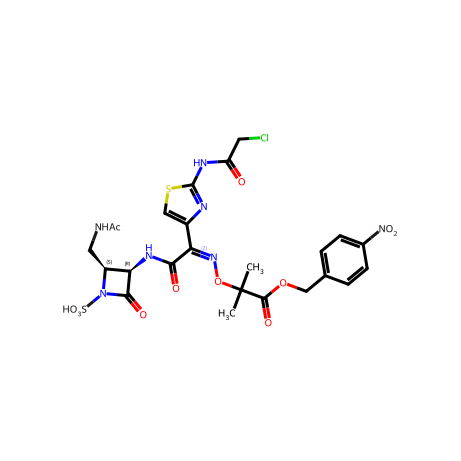 CC(=O)NC[C@H]1[C@@H](NC(=O)/C(=N\OC(C)(C)C(=O)OCc2ccc([N+](=O)[O-])cc2)c2csc(NC(=O)CCl)n2)C(=O)N1S(=O)(=O)O